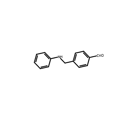 O=Cc1ccc(CNc2ccccc2)cc1